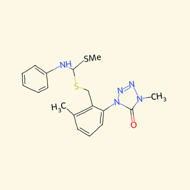 CSC(Nc1ccccc1)SCc1c(C)cccc1-n1nnn(C)c1=O